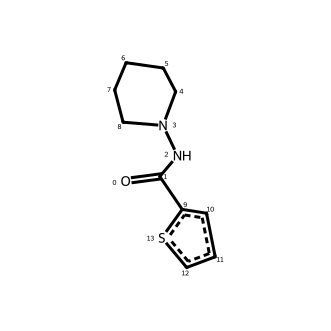 O=C(NN1CCCCC1)c1cccs1